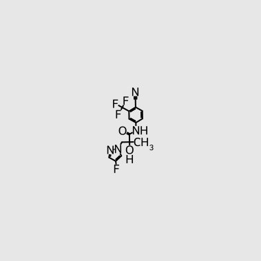 CC(O)(Cn1cc(F)cn1)C(=O)Nc1ccc(C#N)c(C(F)(F)F)c1